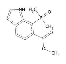 COC(=O)c1ccc2cc[nH]c2c1P(C)(C)=O